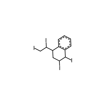 ICC(I)C1CC(I)C(I)c2ccccc21